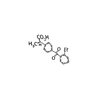 CCc1ccccc1S(=O)(=O)c1ccc([C@@H](C)C(=O)O)cc1